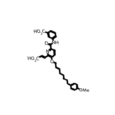 COc1ccc(CCCCCCCCOc2ccc(C(=O)Nc3cccc(C(=O)O)c3)nc2C=CC(=O)O)cc1